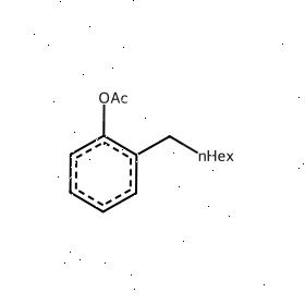 [CH2]CCCCCCc1ccccc1OC(C)=O